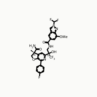 COc1cc(C(=O)NC[C@](O)(c2cc3c(c(-c4ccc(F)cc4)n2)OC[C@]3(C)C(N)=O)C(F)(F)F)cc2cn(C(F)F)nc12